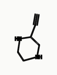 C#CC1CNCCN1